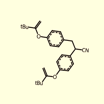 C=C(Oc1ccc(CC(C#N)c2ccc(OC(=C)C(C)(C)C)cc2)cc1)C(C)(C)C